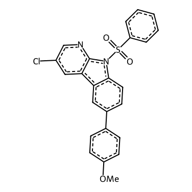 COc1ccc(-c2ccc3c(c2)c2cc(Cl)cnc2n3S(=O)(=O)c2ccccc2)cc1